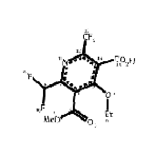 CCOc1c(C(=O)OC)c(C(F)F)nc(C(F)(F)F)c1C(=O)O